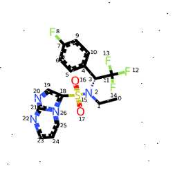 CCN([C@H](c1ccc(F)cc1)C(F)(F)F)S(=O)(=O)c1cnc2ncccn12